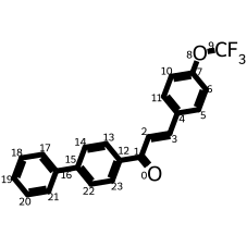 O=C(/C=C/c1ccc(OC(F)(F)F)cc1)c1ccc(-c2ccccc2)cc1